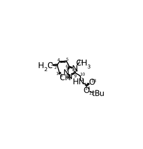 C#CC(=C)/C=C\c1nnc(CNC(=O)OC(C)(C)C)n1C